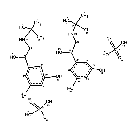 CC(C)(C)NCC(O)c1cc(O)cc(O)c1.CC(C)(C)NCC(O)c1cc(O)cc(O)c1.O=P(O)(O)O.O=S(=O)(O)O